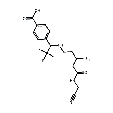 CC(CCNC(c1ccc(C(=O)O)cc1)C(F)(F)F)CC(=O)NCC#N